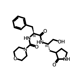 O=C1NCCC1C[C@@H](CO)NC(=O)[C@H](Cc1ccccc1)NC(=O)N1CCOCC1